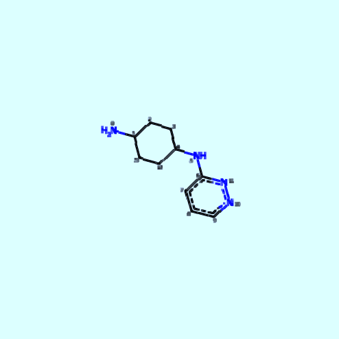 NC1CCC(Nc2cccnn2)CC1